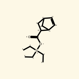 CC[Si](CC)(CC)OC(=O)C1CC2C=CC1C2